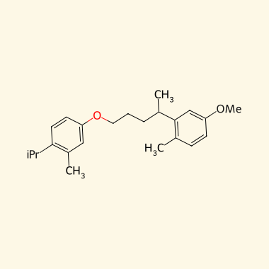 COc1ccc(C)c(C(C)CCCOc2ccc(C(C)C)c(C)c2)c1